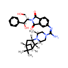 C[C@H]1[C@@H](N2CCN(C(N)=Nc3ccc4c(c3)C(=O)N([C@@H](CO)[C@@H](O)c3ccccc3)C4=O)C[C@@H]2C)C[C@@H]2C[C@@H]1C2(C)C